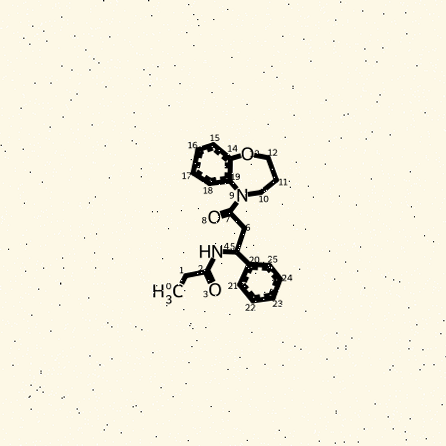 CCC(=O)NC(CC(=O)N1CCCOc2ccccc21)c1ccccc1